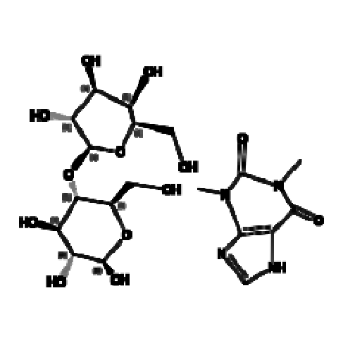 Cn1c(=O)c2[nH]cnc2n(C)c1=O.OC[C@H]1O[C@@H](O[C@H]2[C@H](O)[C@@H](O)[C@H](O)O[C@@H]2CO)[C@H](O)[C@@H](O)[C@H]1O